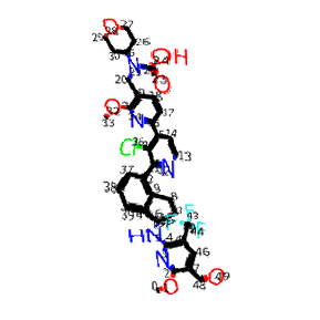 COc1nc(N[C@H]2CCc3c(-c4nccc(-c5ccc(CN(C(=O)O)C6CCOCC6)c(OC)n5)c4Cl)cccc32)c(C(F)(F)F)cc1C=O